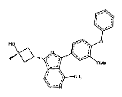 COc1cc(-c2nc([C@H]3C[C@@](C)(O)C3)n3ccnc(N)c23)ccc1Oc1ccccc1